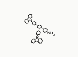 Nc1ccc(-c2ccc(-c3ccc(-n4c5ccccc5c5ccccc54)cc3)cc2-c2ccc(-n3c4ccccc4c4ccccc43)cc2)cc1